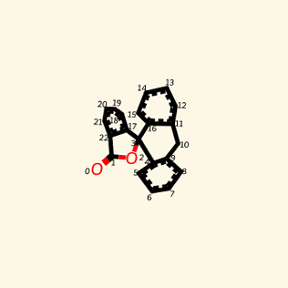 O=C1OC2(c3ccccc3Cc3ccccc32)c2ccccc21